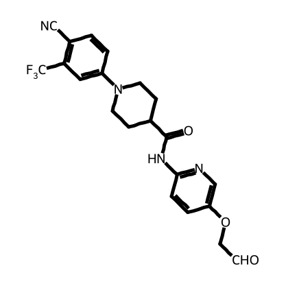 N#Cc1ccc(N2CCC(C(=O)Nc3ccc(OCC=O)cn3)CC2)cc1C(F)(F)F